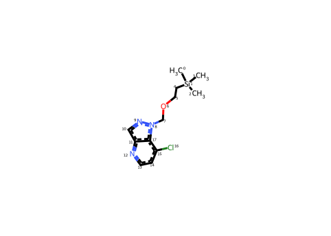 C[Si](C)(C)CCOCn1ncc2nccc(Cl)c21